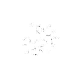 CCc1cc(C(C)C)c2c(c1)[CH]([Zr+2]=[C](c1ccccc1)c1ccccc1)c1c(C3=CC=CC3)c(CC)c(C(C)C)c(C(C)C)c1-2.[Cl-].[Cl-]